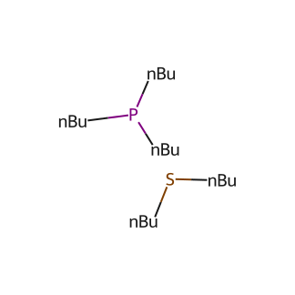 CCCCP(CCCC)CCCC.CCCCSCCCC